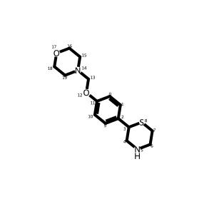 c1cc(C2CNCCS2)ccc1OCN1CCOCC1